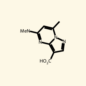 CNc1cc(C)n2ncc(C(=O)O)c2n1